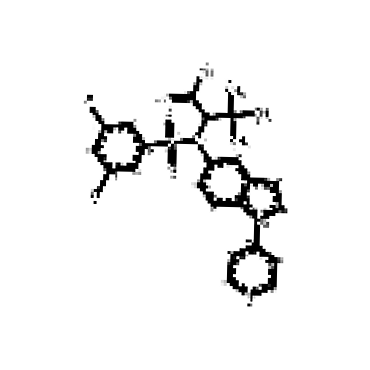 CC(C)(C)C(C(=O)O)N(c1ccc2c(ccn2-c2ccncc2)c1)S(=O)(=O)c1cc(Cl)cc(Cl)c1